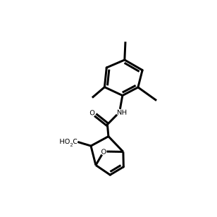 Cc1cc(C)c(NC(=O)C2C3C=CC(O3)C2C(=O)O)c(C)c1